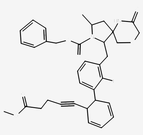 COC(=O)CCC#CC1C=CC=CC1c1cccc(CC2N(C(=O)OCc3ccccc3)C(C)CC23COCC(=O)N3)c1F